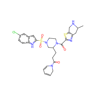 CC1Cc2nc(C(=O)N3CCN(S(=O)(=O)c4cc5cc(Cl)ccc5[nH]4)CC3CCC(=O)N3C=CC=CC3)sc2CN1